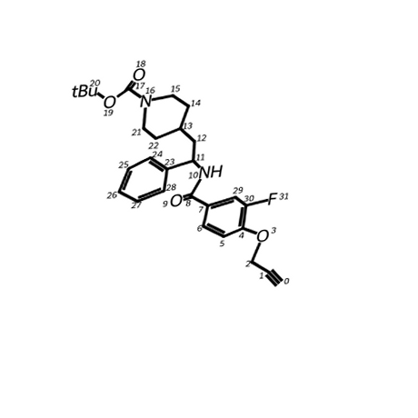 C#CCOc1ccc(C(=O)NC(CC2CCN(C(=O)OC(C)(C)C)CC2)c2ccccc2)cc1F